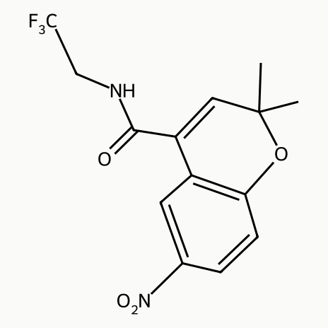 CC1(C)C=C(C(=O)NCC(F)(F)F)c2cc([N+](=O)[O-])ccc2O1